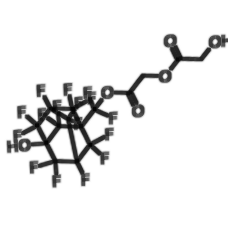 O=C(CO)OCC(=O)OC(F)(F)C12C(F)(F)C3(O)C(F)(F)C(F)(C(F)(F)C(F)(C3(F)F)C1(F)F)C2(F)F